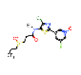 CCN(C(=O)CC[S+]([O-])CCC(F)(F)F)c1sc(-c2cc(F)c[n+]([O-])c2)nc1Cl